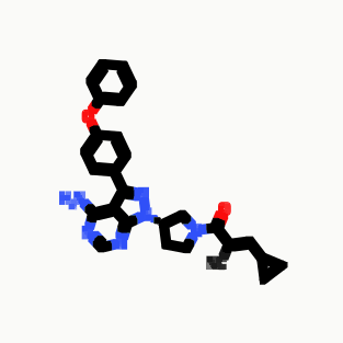 N#C/C(=C\C1CC1)C(=O)N1CC[C@H](n2nc(-c3ccc(Oc4ccccc4)cc3)c3c(N)ncnc32)C1